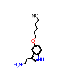 N#CCCCCCOc1ccc2[nH]cc(CCN)c2c1